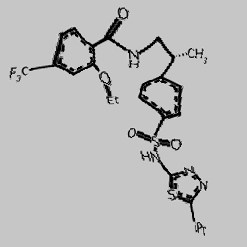 CCOc1cc(C(F)(F)F)ccc1C(=O)NC[C@H](C)c1ccc(S(=O)(=O)Nc2nnc(C(C)C)s2)cc1